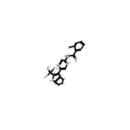 Cc1ccccc1C(=O)Nc1cnc(-c2c(C(F)(F)F)sc3c2CCC3)cn1